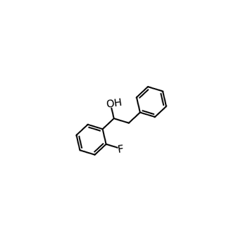 OC(Cc1ccccc1)c1ccccc1F